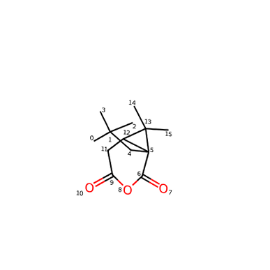 CC(C)(C)CC12C(=O)OC(=O)CC1C2(C)C